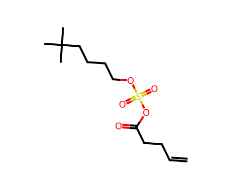 C=CCCC(=O)OS(=O)(=O)OCCCCC(C)(C)C